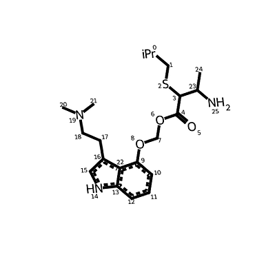 CC(C)CSC(C(=O)OCOc1cccc2[nH]cc(CCN(C)C)c12)C(C)N